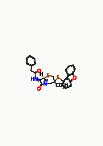 O=C(Cc1ccccc1)N[C@@H]1C(=O)N2CC(Sc3cccc4oc5ccccc5c34)(C(=O)O)CS[C@H]12